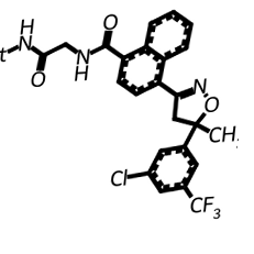 CCNC(=O)CNC(=O)c1ccc(C2=NOC(C)(c3cc(Cl)cc(C(F)(F)F)c3)C2)c2ccccc12